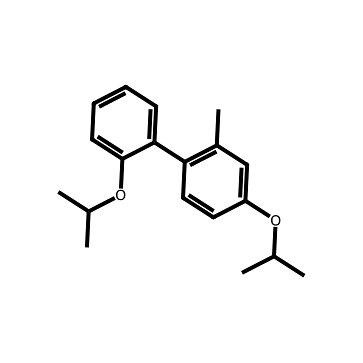 Cc1cc(OC(C)C)ccc1-c1ccccc1OC(C)C